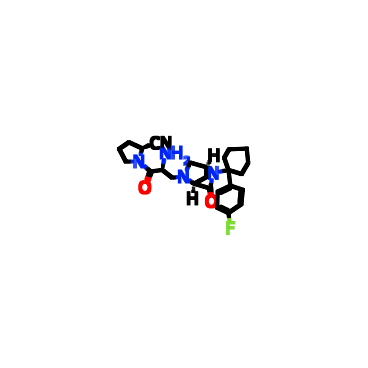 N#C[C@@H]1CCCN1C(=O)[C@@H](N)CN1C[C@@H]2C[C@H]1C(=O)N2C1(c2ccc(F)cc2)CCCCC1